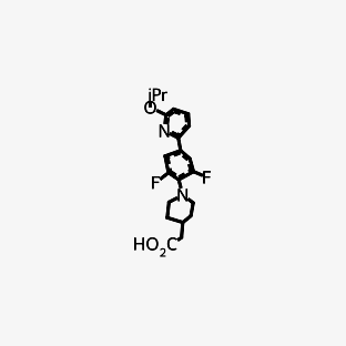 CC(C)Oc1cccc(-c2cc(F)c(N3CCC(CC(=O)O)CC3)c(F)c2)n1